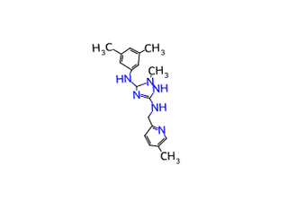 Cc1ccc(CNC2=NC(Nc3cc(C)cc(C)c3)N(C)N2)nc1